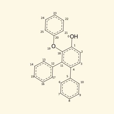 Oc1ccc(-c2ccccc2)c(-c2ccccc2)c1Oc1ccccc1